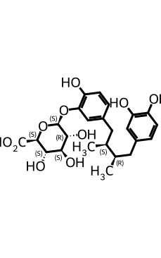 C[C@H](Cc1ccc(O)c(O)c1)[C@@H](C)Cc1ccc(O)c(O[C@@H]2O[C@H](C(=O)O)[C@@H](O)[C@H](O)[C@H]2O)c1